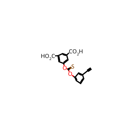 C#Cc1cccc(OC(=S)Oc2cc(C(=O)O)cc(C(=O)O)c2)c1